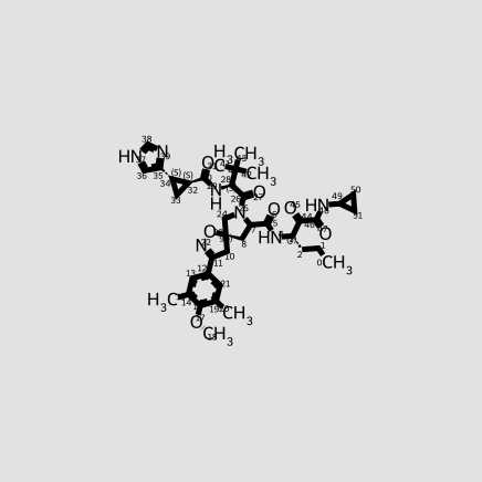 CCC[C@H](NC(=O)C1C[C@]2(CC(c3cc(C)c(OC)c(C)c3)=NO2)CN1C(=O)[C@@H](NC(=O)[C@H]1C[C@@H]1c1c[nH]cn1)C(C)(C)C)C(=O)C(=O)NC1CC1